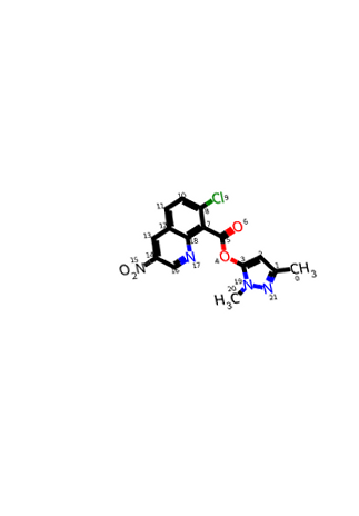 Cc1cc(OC(=O)c2c(Cl)ccc3cc([N+](=O)[O-])cnc23)n(C)n1